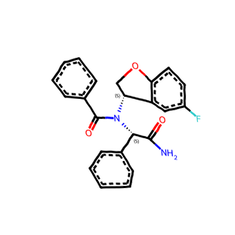 NC(=O)[C@H](c1ccccc1)N(C(=O)c1ccccc1)[C@@H]1COc2ccc(F)cc21